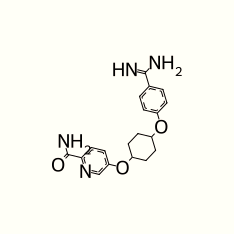 N=C(N)c1ccc(OC2CCC(Oc3ccc(C(N)=O)nc3)CC2)cc1